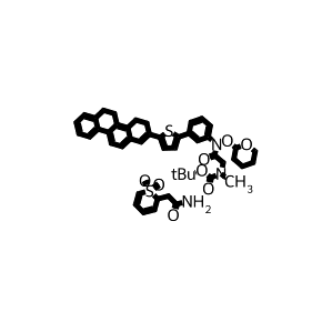 CN(CC(=O)N(OC1CCCCO1)c1cccc(-c2ccc(C3=Cc4ccc5c(c4CC3)CCc3ccccc3-5)s2)c1)C(=O)OC(C)(C)C.NC(=O)CC1C=CC=CS1(=O)=O